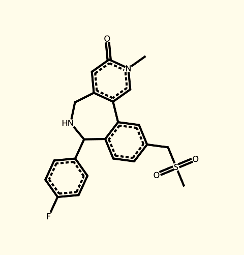 Cn1cc2c(cc1=O)CNC(c1ccc(F)cc1)c1ccc(CS(C)(=O)=O)cc1-2